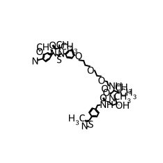 COc1cc(N2C(=O)C(C)(C)N(c3ccc(OCCCCOCCCOCC(=O)NC(C(=O)N4C[C@H](O)C[C@H]4C(=O)NCc4ccc(-c5scnc5C)cc4)C(C)(C)C)cc3)C2=S)ccc1C#N